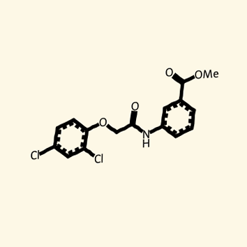 COC(=O)c1cccc(NC(=O)COc2ccc(Cl)cc2Cl)c1